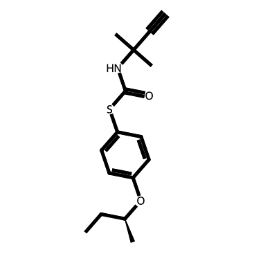 C#CC(C)(C)NC(=O)Sc1ccc(O[C@@H](C)CC)cc1